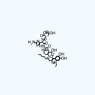 CCCCCN(CC1=C(C(=O)O)N2C(=O)[C@@H](NC(=O)/C(=N\O[C@@H](CC(=O)O)C(=O)O)c3csc(N)n3)[C@H]2SC1)Cc1nn(CC)c2cc(O)c(O)cc2c1=O